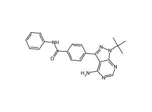 CC(C)(C)n1nc(-c2ccc(C(=O)Nc3ccccc3)cc2)c2c(N)ncnc21